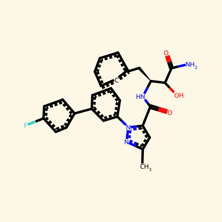 Cc1cc(C(=O)N[C@@H](Cc2ccccc2)C(O)C(N)=O)n(-c2cccc(-c3ccc(F)cc3)c2)n1